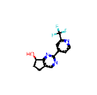 OC1CCc2cnc(-c3ccnc(C(F)(F)F)c3)nc21